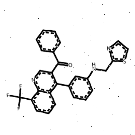 O=C(c1ccccc1)c1cnc2c(C(F)(F)F)cccc2c1-c1cccc(NCc2nccs2)c1